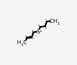 CC=CCSCCCC